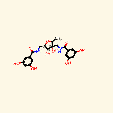 CC1O[C@H](CNC(=O)c2cc(O)cc(O)c2)[C@@H](O)[C@]1(O)CNC(=O)c1cc(O)cc(O)c1